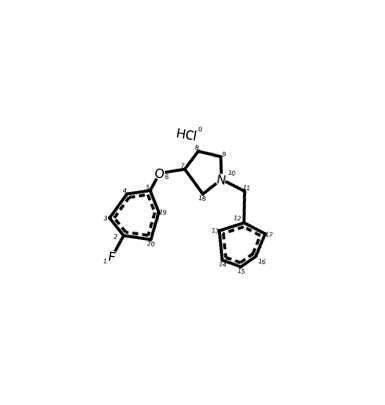 Cl.Fc1ccc(OC2CCN(Cc3ccccc3)C2)cc1